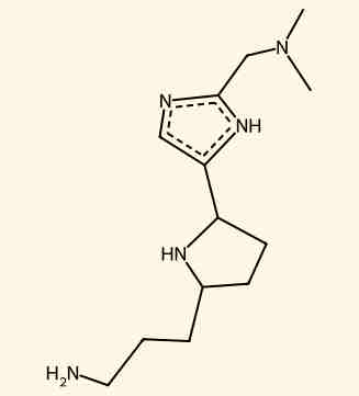 CN(C)Cc1ncc(C2CCC(CCCN)N2)[nH]1